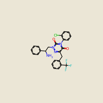 NC(Cn1nc(Cc2ccccc2C(F)(F)F)c(=O)n(-c2ccccc2Cl)c1=O)c1ccccc1